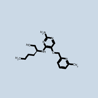 CCCC[C@@H](CO)Nc1nc(N)ncc1OCc1cccc(C)n1